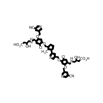 Cc1c(COc2cc(OCc3cncc(C#N)c3)c(CNCC(O)CC(=O)O)cc2Cl)cccc1-c1cncc(COc2cc(OCc3cncc(C#N)c3)c(CNCC(O)CC(=O)O)cc2Cl)c1